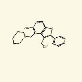 OCc1c(-c2ccccc2)oc2ccc(O)c(CN3CCCCC3)c12